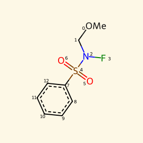 COCN(F)S(=O)(=O)c1ccccc1